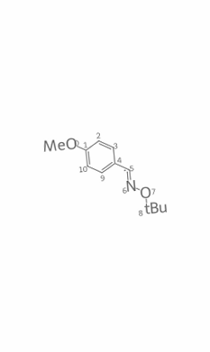 COc1ccc(/[C]=N/OC(C)(C)C)cc1